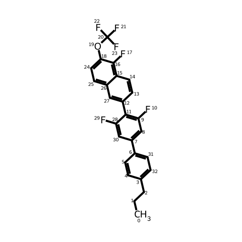 CCCc1ccc(-c2cc(F)c(-c3ccc4c(F)c(OC(F)(F)F)ccc4c3)c(F)c2)cc1